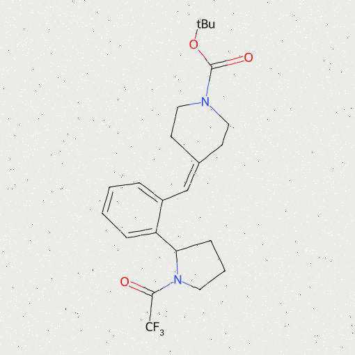 CC(C)(C)OC(=O)N1CCC(=Cc2ccccc2C2CCCN2C(=O)C(F)(F)F)CC1